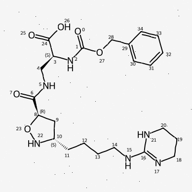 O=C(N[C@@H](CNC(=O)[C@H]1C[C@H](CCCCNC2=NCCCN2)NO1)C(=O)O)OCc1ccccc1